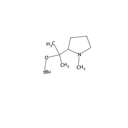 CN1CCCC1C(C)(C)OC(C)(C)C